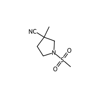 CC1(C#N)CCN(S(C)(=O)=O)C1